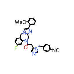 [C-]#[N+]c1ccc(Cn2cncc2CC(=O)N2Cc3nc(-c4ccccc4OC)cn3Cc3ccc(F)cc32)cc1